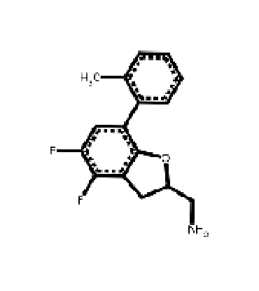 Cc1ccccc1-c1cc(F)c(F)c2c1OC(CN)C2